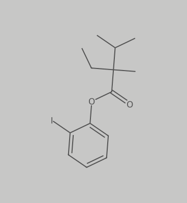 CCC(C)(C(=O)Oc1ccccc1I)C(C)C